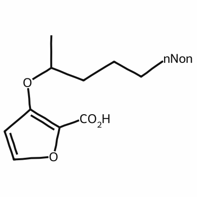 CCCCCCCCCCCCC(C)Oc1ccoc1C(=O)O